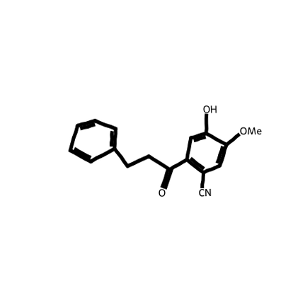 COc1cc(C#N)c(C(=O)CCc2ccccc2)cc1O